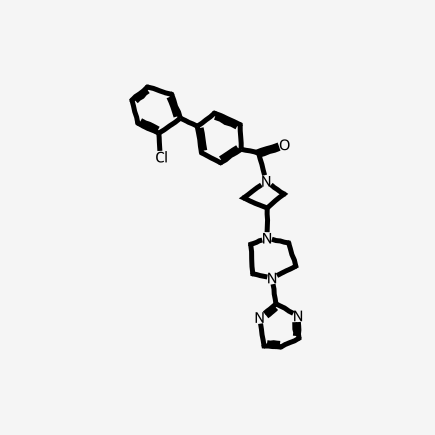 O=C(c1ccc(-c2ccccc2Cl)cc1)N1CC(N2CCN(c3ncccn3)CC2)C1